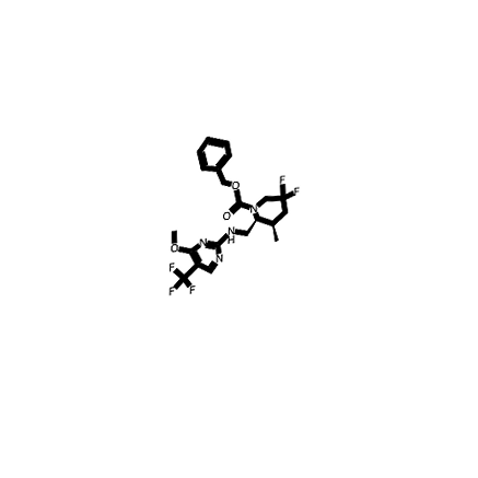 COc1nc(NC[C@@H]2[C@H](C)CC(F)(F)CN2C(=O)OCc2ccccc2)ncc1C(F)(F)F